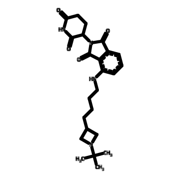 CC(C)(C)N1CC(CCCCNc2cccc3c2C(=O)N(C2CCC(=O)NC2=O)C3=O)C1